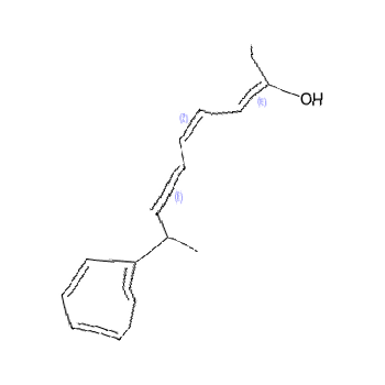 C\C(O)=C/C=C\C=C\C(C)c1ccccc1